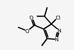 COC(=O)C1=C(C)N=NC1(Cl)C(C)C